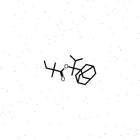 CCC(C)(C)C(=O)OC(C)(C(C)C)C12CC3CC(CC(C3)C1)C2